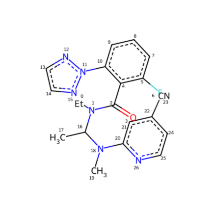 CCN(C(=O)c1c(F)cccc1-n1nccn1)C(C)N(C)c1cc(C#N)ccn1